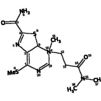 CSC1=C2N=C(C(N)=O)SC2[N+](C)(CCC(=O)N(C)C)C=N1